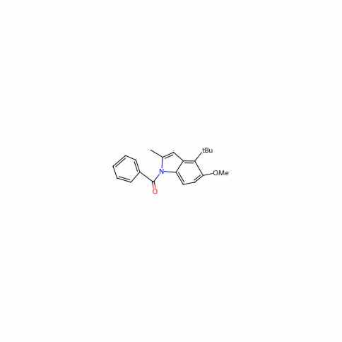 COc1ccc2c([c]c(C)n2C(=O)c2ccccc2)c1C(C)(C)C